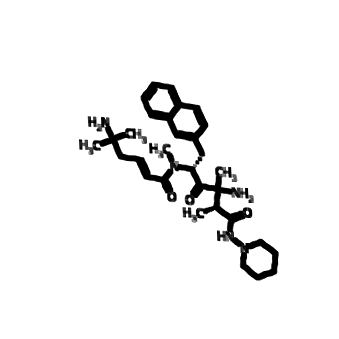 C[C@H](C(=O)NN1CCCCC1)C(C)(N)C(=O)[C@@H](Cc1ccc2ccccc2c1)N(C)C(=O)/C=C/CC(C)(C)N